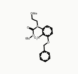 COCCN(C(=O)OC(C)(C)C)c1cccc(OCc2ccccc2)c1[N+](=O)[O-]